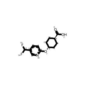 O=C(O)[C@H]1CC[C@H](Oc2ccc(C(F)F)cn2)CC1